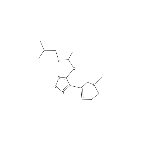 CC(C)CSC(C)Oc1nsnc1C1=CCCN(C)C1